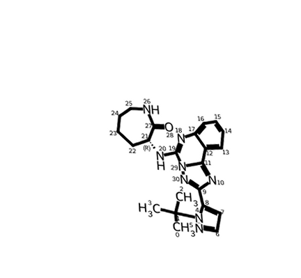 CC(C)(C)n1nccc1-c1nc2c3ccccc3nc(N[C@@H]3CCCCNC3=O)n2n1